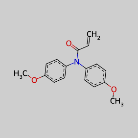 C=CC(=O)N(c1ccc(OC)cc1)c1ccc(OC)cc1